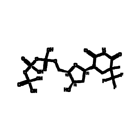 CC1(C(F)(F)F)CN([C@H]2C[C@H](O)[C@@H](COP(=O)(O)OP(=O)(O)OP(=O)(O)O)O2)C(=O)NC1=O